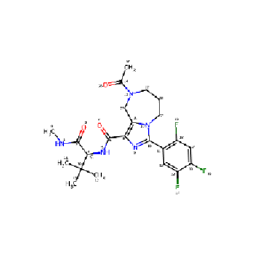 CNC(=O)[C@@H](NC(=O)c1nc(-c2cc(F)c(F)cc2F)n2c1CN(C(C)=O)CCC2)C(C)(C)C